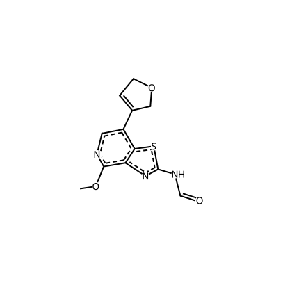 COc1ncc(C2=CCOC2)c2sc(NC=O)nc12